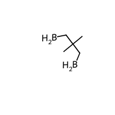 BCC(C)(C)CB